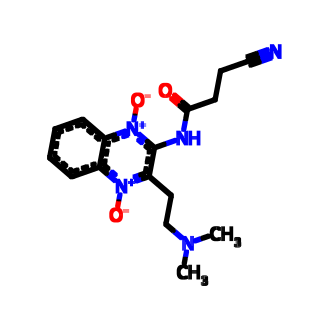 CN(C)CCc1c(NC(=O)CCC#N)[n+]([O-])c2ccccc2[n+]1[O-]